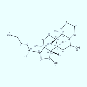 CC(C)CCC[C@@H](C)[C@H]1CC(O)[C@H]2[C@@H]3CC(O)C4CCCC[C@]4(C)[C@H]3CC[C@]12C